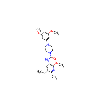 CCc1cc(NC(=O)N2CCN(c3cc(OC)cc(OC)c3)CC2)c(OC)nc1C